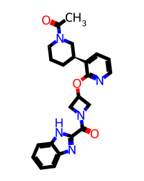 CC(=O)N1CCC[C@H](c2cccnc2OC2CN(C(=O)c3nc4ccccc4[nH]3)C2)C1